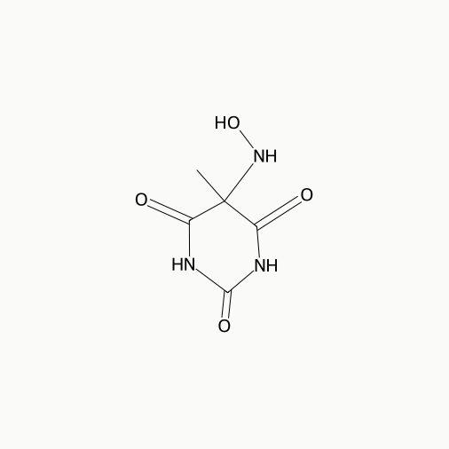 CC1(NO)C(=O)NC(=O)NC1=O